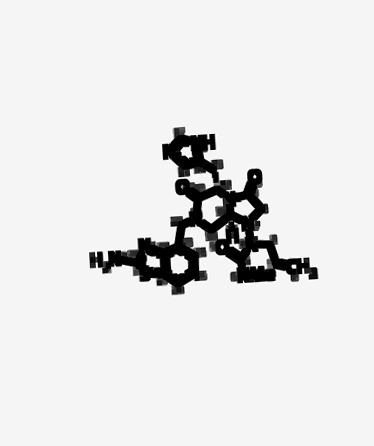 C=CCN(C(=O)NC)N1CC(=O)N2[C@@H](Cc3cnc[nH]3)C(=O)N(Cc3cccc4sc(N)nc34)C[C@@H]21